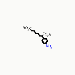 Nc1ccc(C(CCCCCC(=O)O)C(=O)O)cc1